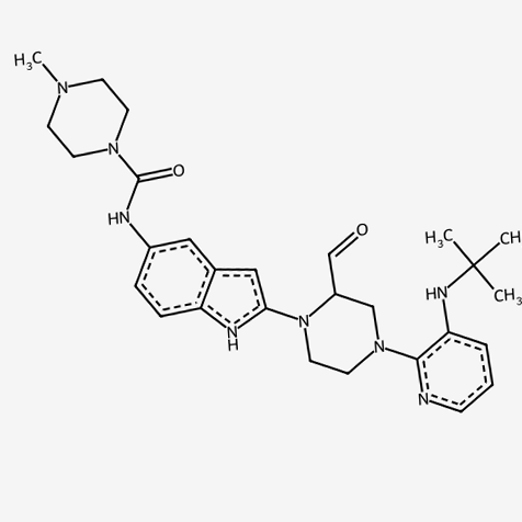 CN1CCN(C(=O)Nc2ccc3[nH]c(N4CCN(c5ncccc5NC(C)(C)C)CC4C=O)cc3c2)CC1